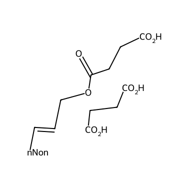 CCCCCCCCCC=CCOC(=O)CCC(=O)O.O=C(O)CCC(=O)O